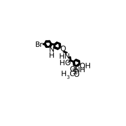 CS(=O)(=O)Nc1cc([C@@H](O)CNCCOc2ccc3c(c2)[nH]c2cc(Br)ccc23)ccc1O